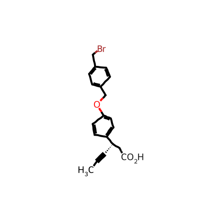 CC#C[C@@H](CC(=O)O)c1ccc(OCc2ccc(CBr)cc2)cc1